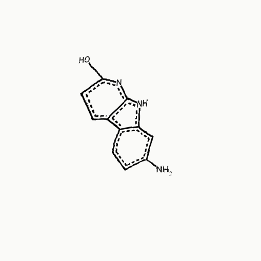 Nc1ccc2c(c1)[nH]c1nc(O)ccc12